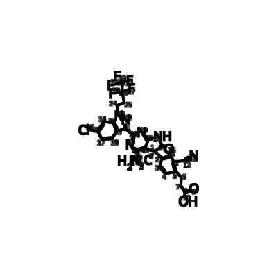 C[C@@]1(c2ccc(CCC(=O)O)c(C#N)c2)C(=O)Nc2nc(-c3nn(CCC(F)(F)C(F)(F)F)c4cc(Cl)ccc34)nc(N)c21